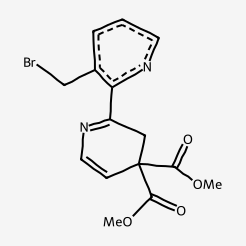 COC(=O)C1(C(=O)OC)C=CN=C(c2ncccc2CBr)C1